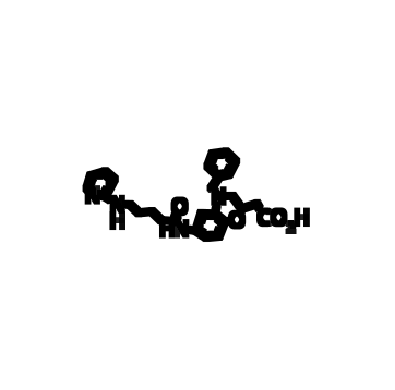 O=C(O)CC1CN(Cc2ccccc2)c2cc(NC(=O)CCCCNc3ccccn3)ccc2O1